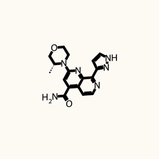 C[C@@H]1COCCN1c1cc(C(N)=O)c2ccnc(-c3cc[nH]n3)c2n1